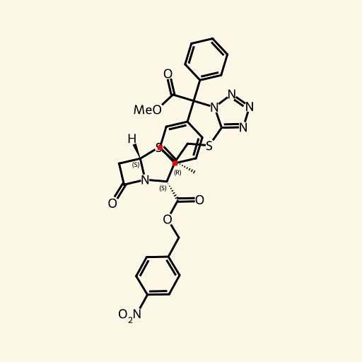 COC(=O)C(c1ccccc1)(c1ccccc1)n1nnnc1SC[C@]1(C)S[C@H]2CC(=O)N2[C@H]1C(=O)OCc1ccc([N+](=O)[O-])cc1